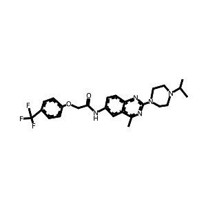 Cc1nc(N2CCN(C(C)C)CC2)nc2ccc(NC(=O)COc3ccc(C(F)(F)F)cc3)cc12